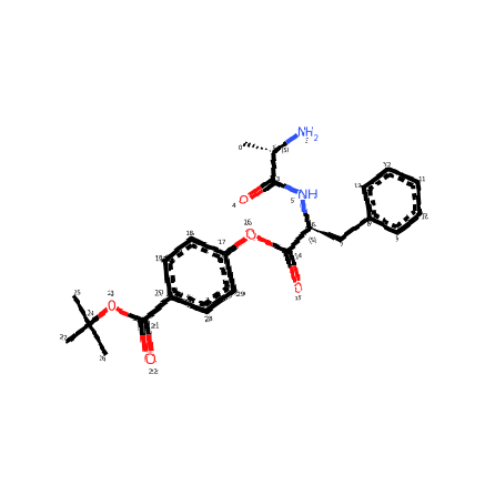 C[C@H](N)C(=O)N[C@@H](Cc1ccccc1)C(=O)Oc1ccc(C(=O)OC(C)(C)C)cc1